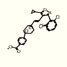 COC(=O)c1ccc(C23CCC(/C=C/c4c(-c5c(Cl)cccc5Cl)noc4C4CC4)(CC2)CO3)cc1